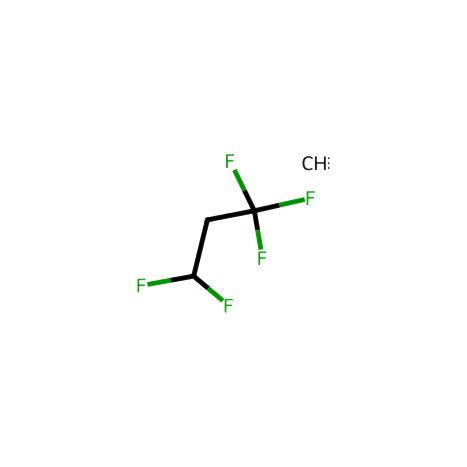 FC(F)CC(F)(F)F.[CH]